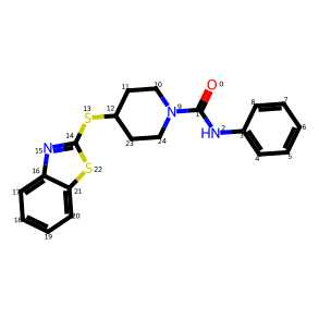 O=C(Nc1ccccc1)N1CCC(Sc2nc3ccccc3s2)CC1